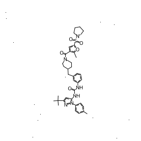 Cc1ccc(-n2nc(C(C)(C)C)cc2NC(=O)Nc2cccc(CC3CCN(C(=O)c4cc(S(=O)(=O)N5CCCCC5)oc4C)CC3)c2)cc1